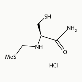 CSCN[C@@H](CS)C(N)=O.Cl